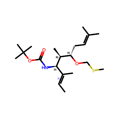 C/C=C(\C)[C@@H](NC(=O)OC(C)(C)C)[C@@H](C)[C@H](CC=C(C)C)OCSC